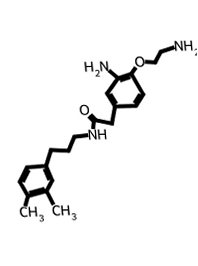 Cc1ccc(CCCNC(=O)Cc2ccc(OCCN)c(N)c2)cc1C